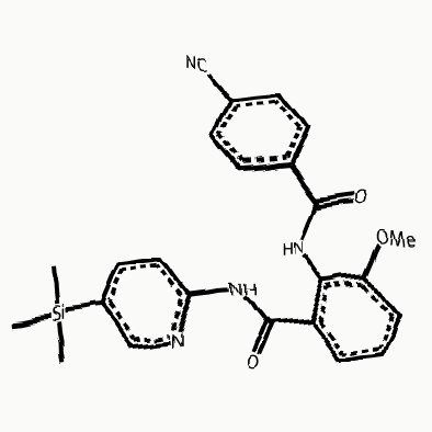 COc1cccc(C(=O)Nc2ccc([Si](C)(C)C)cn2)c1NC(=O)c1ccc(C#N)cc1